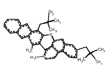 Cc1c2c(c(CC(C)(C)C)c3cc4ccccc4cc13)Sc1cc3cc(CC(C)(C)C)ccc3c3cc[n+](C)c-2c13